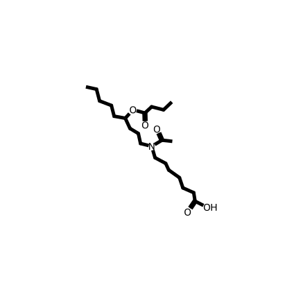 CCCCCC(CCCN(CCCCCCC(=O)O)C(C)=O)OC(=O)CCC